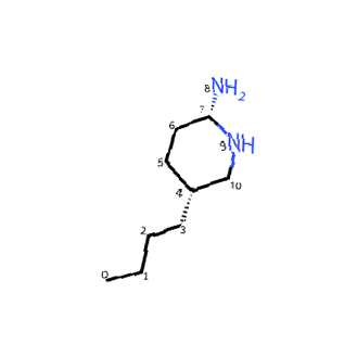 CCCC[C@@H]1CC[C@H](N)NC1